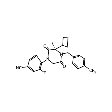 C[C@@]1(C2CCC2)C(=O)N(c2ccc(C#N)cc2F)CC(=O)N1Cc1ccc(C(F)(F)F)cc1